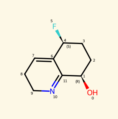 O[C@@H]1CC[C@H](F)C2=CCCN=C21